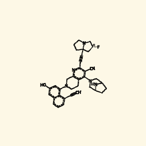 C#Cc1cccc2cc(O)cc(N3CCc4c(nc(C#CC56CCCN5C[C@H](F)C6)c(C#N)c4N4CC5CCC(C4)N5)C3)c12